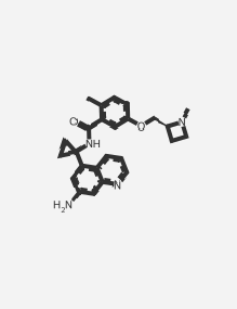 Cc1ccc(OC[C@@H]2CCN2C)cc1C(=O)NC1(c2cc(N)cc3ncccc23)CC1